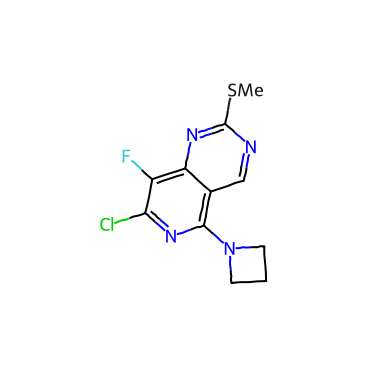 CSc1ncc2c(N3CCC3)nc(Cl)c(F)c2n1